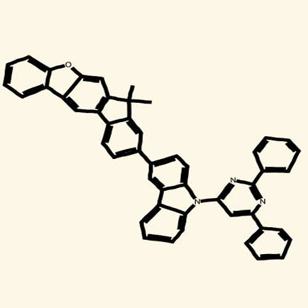 CC1(C)c2cc(-c3ccc4c(c3)c3ccccc3n4-c3cc(-c4ccccc4)nc(-c4ccccc4)n3)ccc2-c2cc3c(cc21)oc1ccccc13